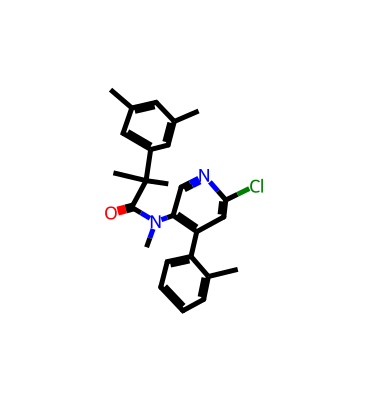 Cc1cc(C)cc(C(C)(C)C(=O)N(C)c2cnc(Cl)cc2-c2ccccc2C)c1